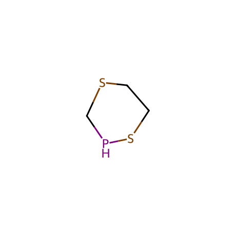 C1CSPCS1